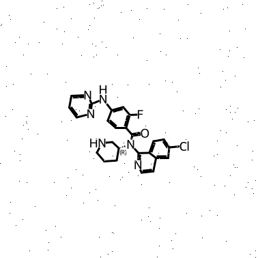 O=C(c1ccc(Nc2ncccn2)cc1F)N(c1nccc2cc(Cl)ccc12)[C@@H]1CCCNC1